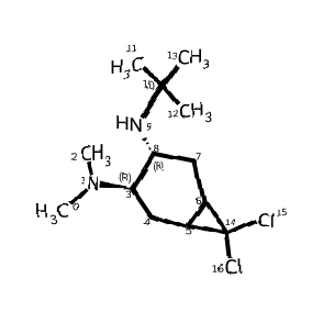 CN(C)[C@@H]1CC2C(C[C@H]1NC(C)(C)C)C2(Cl)Cl